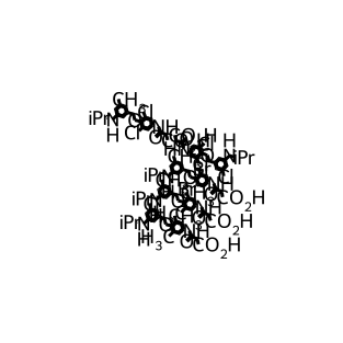 CC(C)Nc1cc(Cl)cc(COc2c(Cl)cc(NC(=O)CC(=O)O)cc2Cl)c1.Cc1cc(COc2c(Br)cc(NC(=O)CC(=O)O)cc2Br)cc(NC(C)C)c1.Cc1cc(COc2c(C)cc(NC(=O)CC(=O)O)cc2C)cc(NC(C)C)c1.Cc1cc(COc2c(Cl)cc(NC(=O)CC(=O)O)cc2Cl)cc(NC(C)C)c1.Cc1cc(NC(=O)CC(=O)O)cc(C)c1OCc1cc(Cl)cc(NC(C)C)c1